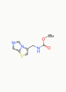 CC(C)(C)OC(=O)NCc1csc2cncn12